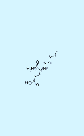 CCCCCNC(CCC(=O)O)C(N)=O